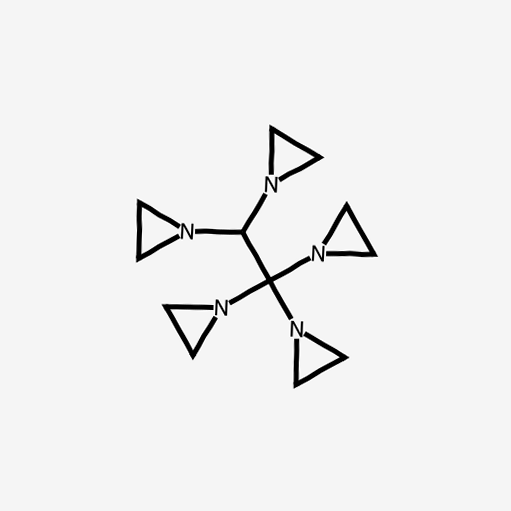 C1CN1C(N1CC1)C(N1CC1)(N1CC1)N1CC1